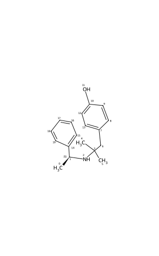 C[C@H](NC(C)(C)Cc1ccc(O)cc1)c1ccccc1